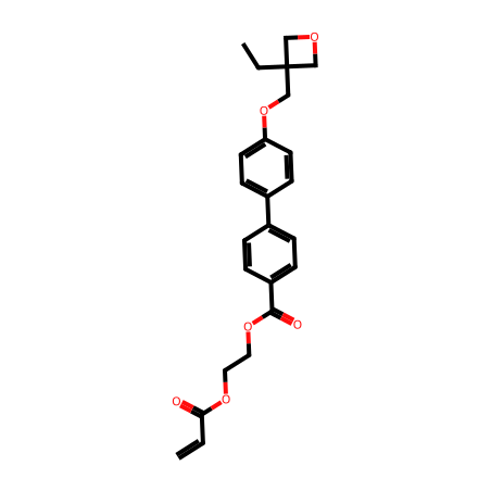 C=CC(=O)OCCOC(=O)c1ccc(-c2ccc(OCC3(CC)COC3)cc2)cc1